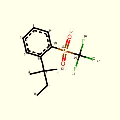 CCC(C)(C)c1ccccc1S(=O)(=O)C(F)(F)F